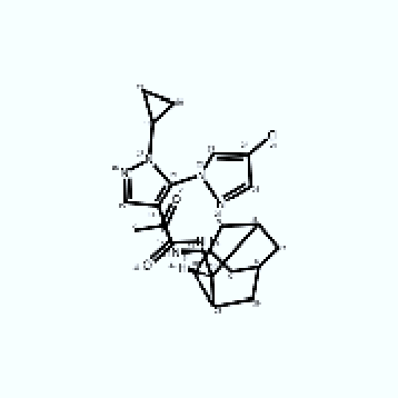 CC(=O)N[C@]12CC3CC(C1)[C@@H](NC(=O)c1cnn(C4CC4)c1-n1cc(Cl)cn1)C(C3)C2